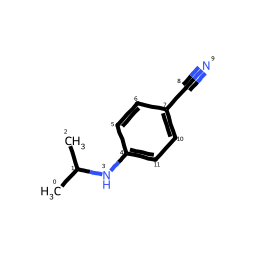 CC(C)Nc1[c]cc(C#N)cc1